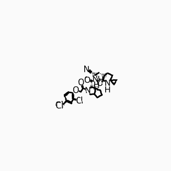 N#C[C@H](C[C@@H]1CCC2(CC2)NC1=O)NC(=O)[C@@H]1[C@H]2CCCC2CN1C(=O)COc1ccc(Cl)cc1Cl